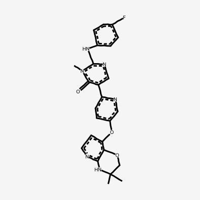 Cn1c(Nc2ccc(F)cc2)ncc(-c2ccc(Oc3ccnc4c3OCC(C)(C)N4)cn2)c1=O